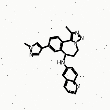 Cc1nnn2c1-c1ccc(-c3cnn(C)c3)cc1C(Nc1ccc3ncccc3c1)CC2